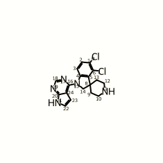 Clc1ccc2c(c1Cl)C1(CCNCC1)CN2c1ncnc2[nH]ccc12